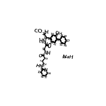 O=C(O)CC(NC(=O)CNC(=O)CCCNc1ccccn1)c1ccc(-c2ccccc2)c(O)c1.[NaH]